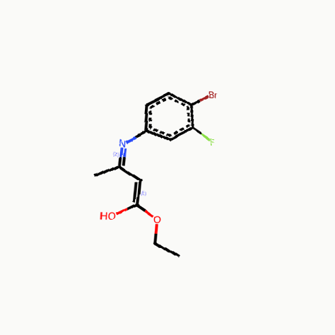 CCO/C(O)=C/C(C)=N\c1ccc(Br)c(F)c1